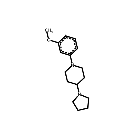 COc1[c]ccc(N2CCC(N3CCCC3)CC2)c1